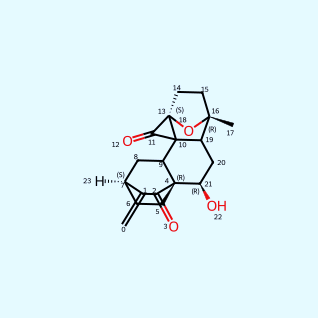 C=C1C(=O)[C@]23CC[C@H]1CC2C12C(=O)[C@]14CC[C@@](C)(O4)C2C[C@H]3O